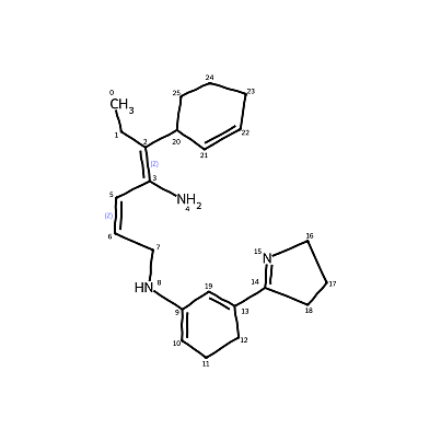 CC/C(=C(N)\C=C/CNC1=CCCC(C2=NCCC2)=C1)C1C=CCCC1